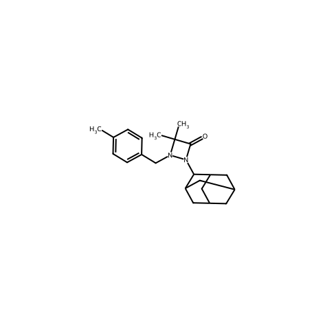 Cc1ccc(CN2N(C3C4CC5CC(C4)CC3C5)C(=O)C2(C)C)cc1